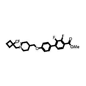 COC(=O)c1ccc(-c2ccc(OCC3CCN(CC4(C(F)(F)F)CCC4)CC3)cc2)c(F)c1F